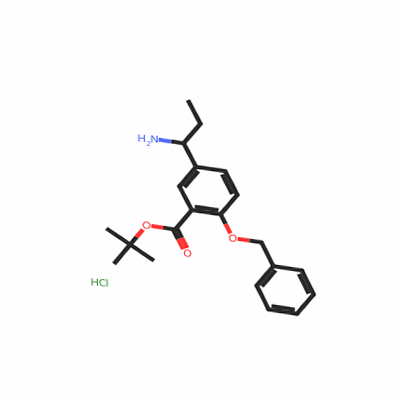 CCC(N)c1ccc(OCc2ccccc2)c(C(=O)OC(C)(C)C)c1.Cl